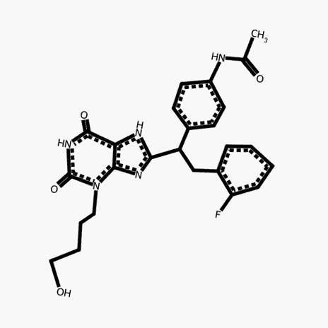 CC(=O)Nc1ccc(C(Cc2ccccc2F)c2nc3c([nH]2)c(=O)[nH]c(=O)n3CCCCO)cc1